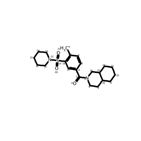 Cc1ccc(C(=O)N2CCC3CCCCC3C2)cc1S(=O)(=O)N1CCCCC1